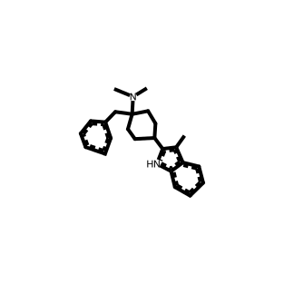 Cc1c(C2CCC(Cc3ccccc3)(N(C)C)CC2)[nH]c2ccccc12